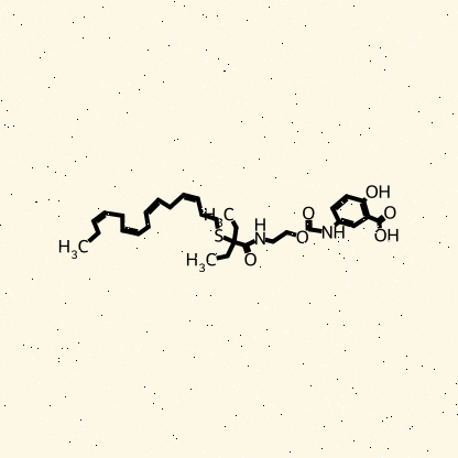 CC/C=C\C/C=C\C/C=C\C/C=C\CCSC(CC)(CC)C(=O)NCCOC(=O)Nc1ccc(O)c(C(=O)O)c1